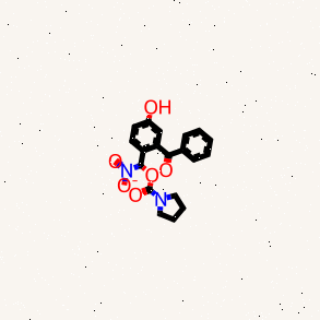 O=C(c1ccccc1)c1cc(O)ccc1C(OC(=O)N1CCCC1)[N+](=O)[O-]